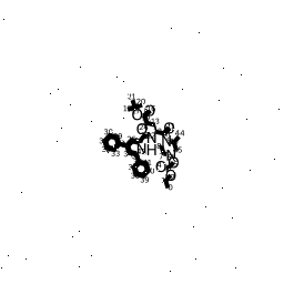 CCOC(=O)ON1CCN(C(=O)[C@H](CCC(=O)OC(C)(C)C)NC(=O)c2cc(-c3ccccc3)cc(-c3ccccc3)n2)C(C)C1